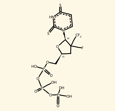 O=P(O)(O)OP(=O)(O)OP(=O)(O)OC[C@@H]1CC(F)(C(F)(F)F)[C@H](n2ccc(=S)[nH]c2=S)O1